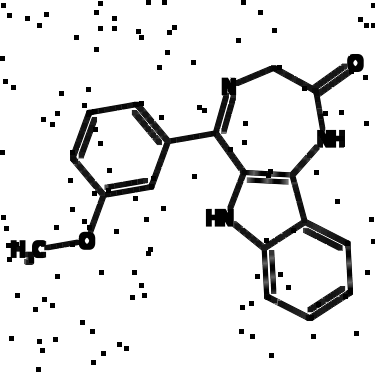 COc1cccc(C2=NCC(=O)Nc3c2[nH]c2ccccc32)c1